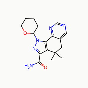 CC1(C)Cc2cncnc2-c2c1c(C(N)=O)nn2C1CCCCO1